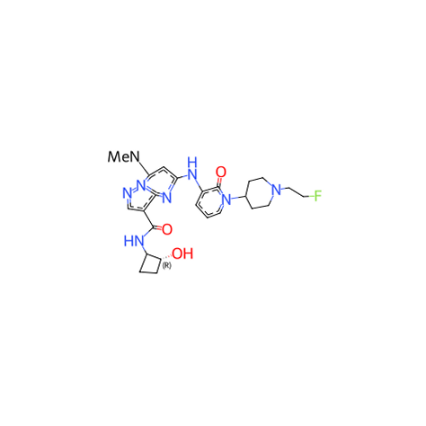 CNc1cc(Nc2cccn(C3CCN(CCF)CC3)c2=O)nc2c(C(=O)NC3CC[C@H]3O)cnn12